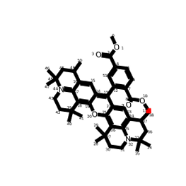 COC(=O)c1ccc(C(=O)OC)c(C2=c3cc4c5c(c3Oc3c2cc2c6c3C(C)(C)CCN6C(C)(C)CC2C)C(C)(C)CC[N+]=5C(C)(C)CC4C)c1